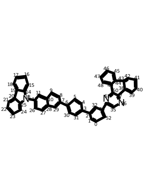 c1cc(-c2ccc(-c3ccc4cc(-n5c6ccccc6c6ccccc65)ccc4c3)cc2)cc(-c2cnc3c4ccccc4c4ccccc4c3n2)c1